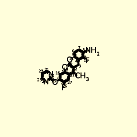 Cc1c(Cc2cccc(N)c2F)c(=O)oc2cc(Oc3ncccn3)c(F)cc12